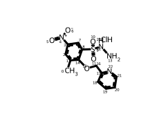 Cc1cc([N+](=O)[O-])cc(S(=O)(=O)NN)c1OCc1ccccn1.Cl